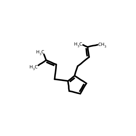 CC(C)=CCC1=C(CC=C(C)C)CC=C1